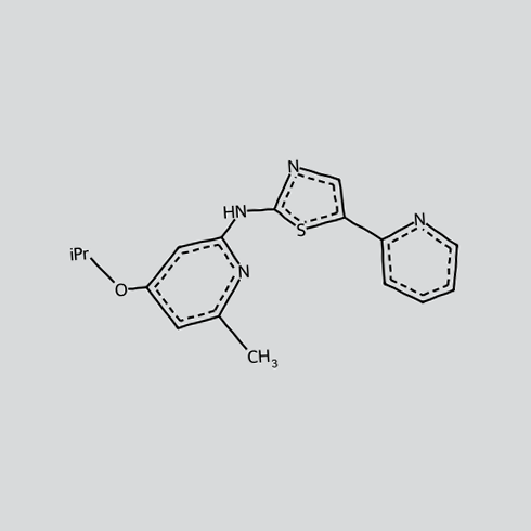 Cc1cc(OC(C)C)cc(Nc2ncc(-c3ccccn3)s2)n1